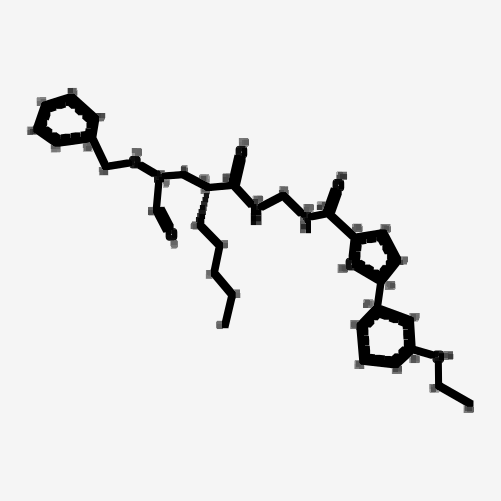 CCCCC[C@H](CN(C=O)OCc1ccccc1)C(=O)NCNC(=O)c1ccc(-c2cccc(OCC)c2)o1